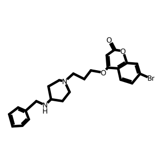 O=c1cc(OCCCN2CCC(NCc3ccccc3)CC2)c2ccc(Br)cc2o1